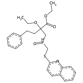 CCOC(=O)C(CCc1ccccc1)(C[PH](=O)CSc1ccc2ccccc2n1)OCC